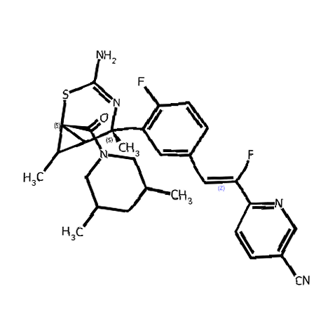 CC1CC(C)CN(C(=O)[C@@]23SC(N)=N[C@](C)(c4cc(/C=C(\F)c5ccc(C#N)cn5)ccc4F)C2C3C)C1